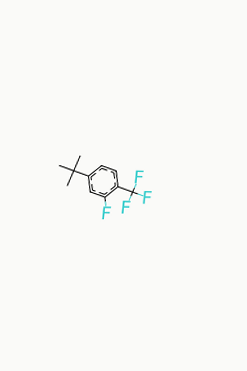 CC(C)(C)c1ccc(C(F)(F)F)c(F)c1